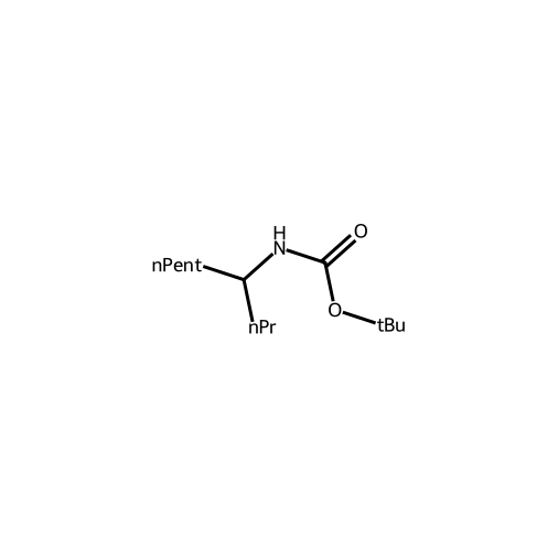 CCCCCC(CCC)NC(=O)OC(C)(C)C